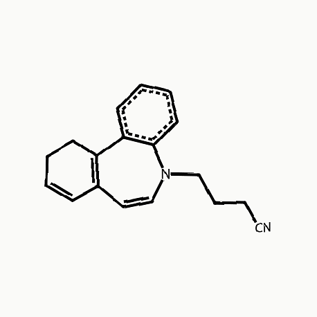 N#CCCCN1C=CC2=C(CCC=C2)c2ccccc21